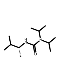 CC(C)[C@@H](C)NC(=O)N(C(C)C)C(C)C